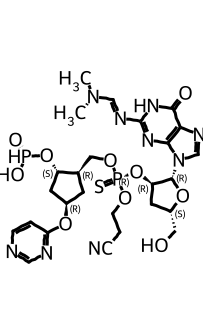 CN(C)C=Nc1nc2c(ncn2[C@@H]2O[C@H](CO)C[C@H]2O[P@@](=S)(OCCC#N)OC[C@H]2C[C@@H](Oc3ccncn3)C[C@@H]2O[PH](=O)O)c(=O)[nH]1